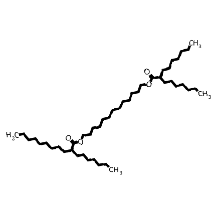 CCCCCCCCCC(CCCCCCC)C(=O)OCCCCCCCCCCCCCOC(=O)C(CCCCCCC)CCCCCCC